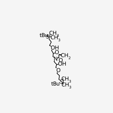 C=CC(=O)N(CC(O)COCCC[Si](C)(C)C(C)(C)C)CC(O)COCCC[Si](C)(C)C(C)(C)C